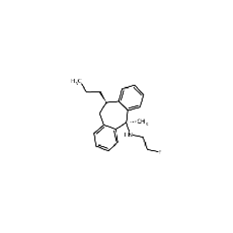 CCC[C@@H]1Cc2ccccc2[C@](C)(NCCF)c2ccccc21